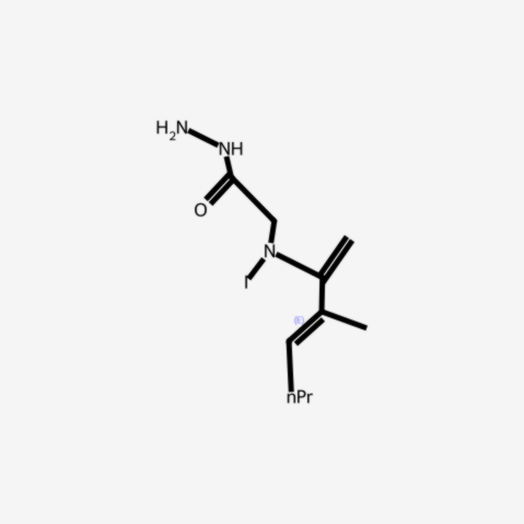 C=C(/C(C)=C/CCC)N(I)CC(=O)NN